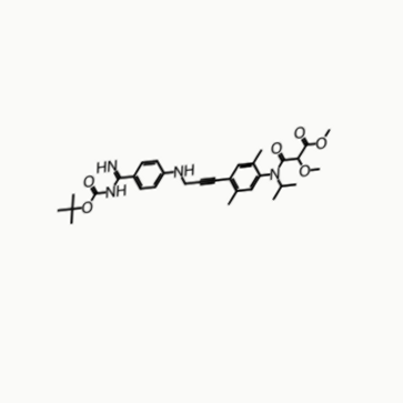 COC(=O)C(OC)C(=O)N(c1cc(C)c(C#CCNc2ccc(C(=N)NC(=O)OC(C)(C)C)cc2)cc1C)C(C)C